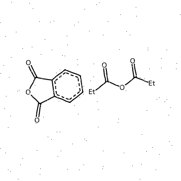 CCC(=O)OC(=O)CC.O=C1OC(=O)c2ccccc21